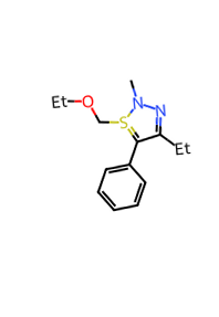 CCOCS1=C(c2ccccc2)C(CC)=NN1C